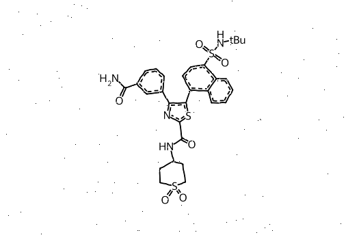 CC(C)(C)NS(=O)(=O)c1ccc(-c2sc(C(=O)NC3CCS(=O)(=O)CC3)nc2-c2cccc(C(N)=O)c2)c2ccccc12